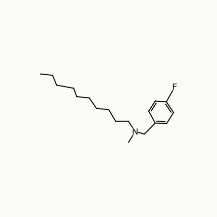 CCCCCCCCCCN(C)Cc1ccc(F)cc1